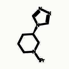 CC(C)N1CCC[C@@H](n2cnnc2)C1